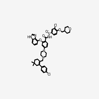 CC1(C)CCC(CN2CCN(c3ccc(C(=O)N[S+]([O-])c4ccc(OCC5CCOCC5)c(Cl)c4)c(Oc4cccc5[nH]cnc45)c3)CC2)=C(c2ccc(Cl)cc2)C1